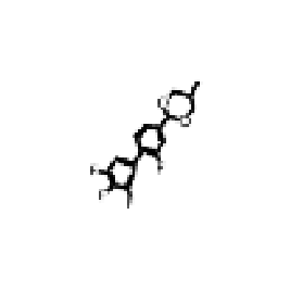 CC1COC(c2ccc(-c3cc(F)c(F)c(F)c3)c(F)c2)OC1